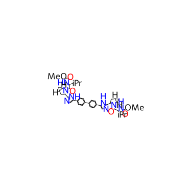 COC(=O)N[C@H](C(=O)N1C(c2ncc(-c3ccc(-c4ccc(-c5cnc(C6C[C@@H]7C[C@@H]7N6C(=O)[C@@H](NC(=O)OC)C(C)C)[nH]5)cc4)cc3)[nH]2)C[C@@H]2C[C@@H]21)C(C)C